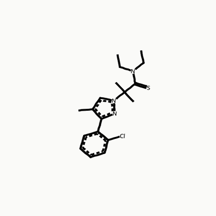 CCN(CC)C(=S)C(C)(C)n1cc(C)c(-c2ccccc2Cl)n1